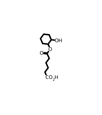 O=C(O)CCCCC(=O)OC1CCCCC1O